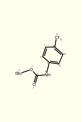 CC(C)(C)OC(=O)Nc1[c]cc(C(F)(F)F)cc1